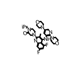 Cc1c(N2CCN(C(C)C)C(=O)C2)nc2cc(F)cc(F)c2c1Nc1cc(N2CCOCC2)cnc1N1CCOCC1